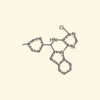 Cc1ccc(C2Nc3c(Cl)ncnc3-n3c2cc2ccccc23)cc1